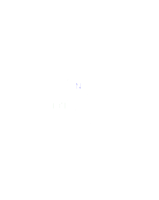 CN(C)C1CCCC1.Cl